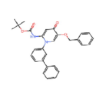 CC(C)(C)OC(=O)Nc1cc(=O)c(OCc2ccccc2)cn1-c1cccc(-c2ccccc2)c1